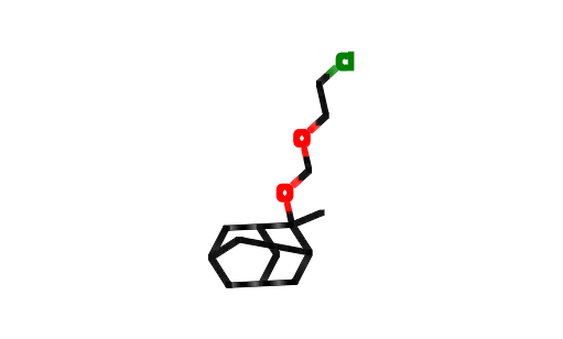 CC1(OCOCCCl)C2CC3CC(C2)CC1C3